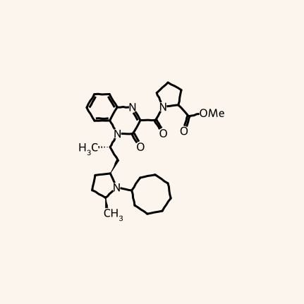 COC(=O)C1CCCN1C(=O)c1nc2ccccc2n([C@@H](C)C[C@@H]2CC[C@H](C)N2C2CCCCCCC2)c1=O